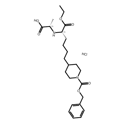 CCOC(=O)[C@H](CCCCC1CCN(C(=O)OCc2ccccc2)CC1)N[C@@H](C)C(=O)O.Cl